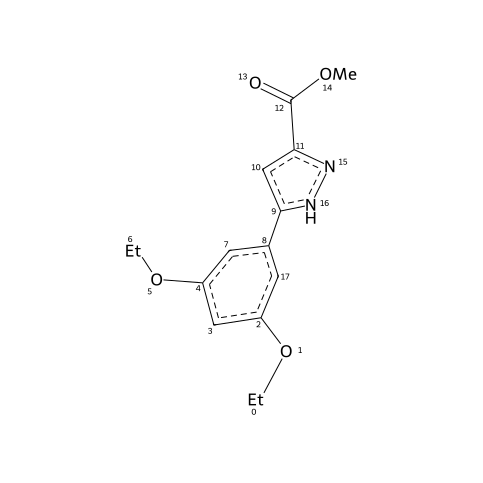 CCOc1cc(OCC)cc(-c2cc(C(=O)OC)n[nH]2)c1